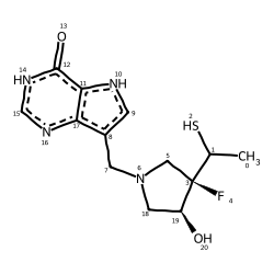 CC(S)[C@@]1(F)CN(Cc2c[nH]c3c(=O)[nH]cnc23)C[C@@H]1O